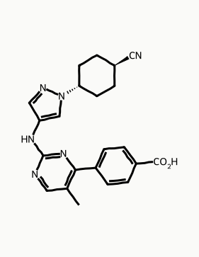 Cc1cnc(Nc2cnn([C@H]3CC[C@H](C#N)CC3)c2)nc1-c1ccc(C(=O)O)cc1